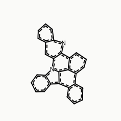 c1ccc2nc3c4cccc5c6ccccc6c6c7ccccc7n(c3cc2c1)c6c54